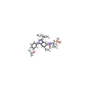 Cc1cc2c(cc1C(=O)NC1(C)CS(=O)(=O)C1)c(C(C)C)nn2-c1cccc(OC(F)F)c1